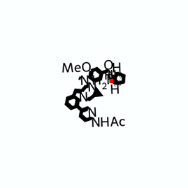 COc1cc(C(=O)N2C[C@H]3CC[C@@H]2[C@@H]3N)cc2nc(-c3cc4cccc(-c5ccc(NC(C)=O)nc5)c4n3CC3CC3)n(C)c12